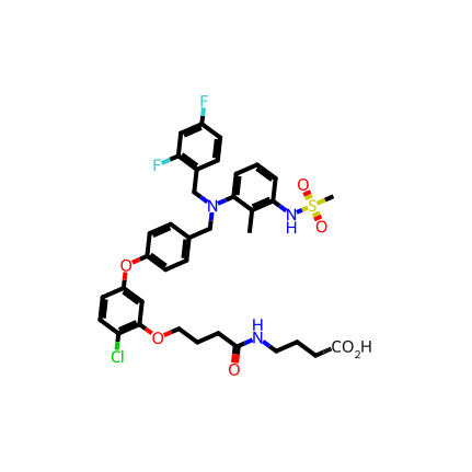 Cc1c(NS(C)(=O)=O)cccc1N(Cc1ccc(Oc2ccc(Cl)c(OCCCC(=O)NCCCC(=O)O)c2)cc1)Cc1ccc(F)cc1F